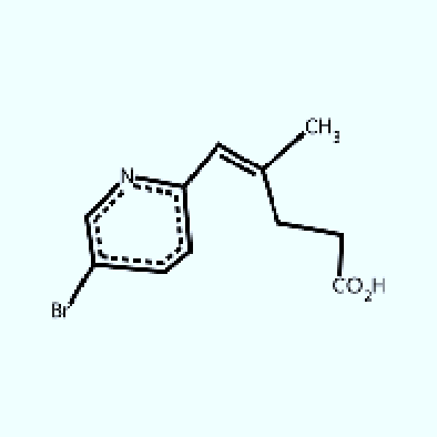 CC(=Cc1ccc(Br)cn1)CCC(=O)O